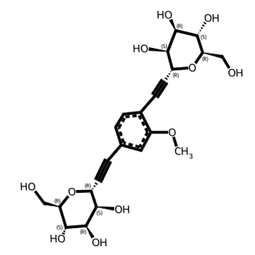 COc1cc(C#C[C@H]2O[C@H](CO)[C@@H](O)[C@H](O)[C@@H]2O)ccc1C#C[C@H]1O[C@H](CO)[C@@H](O)[C@H](O)[C@@H]1O